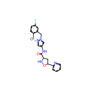 O=C(Nc1cnn(Cc2cc(F)ccc2C(F)(F)F)c1)C1CC(c2ccccn2)ON1